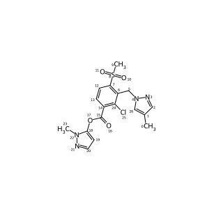 Cc1cnn(Cc2c(S(C)(=O)=O)ccc(C(=O)Oc3ccnn3C)c2Cl)c1